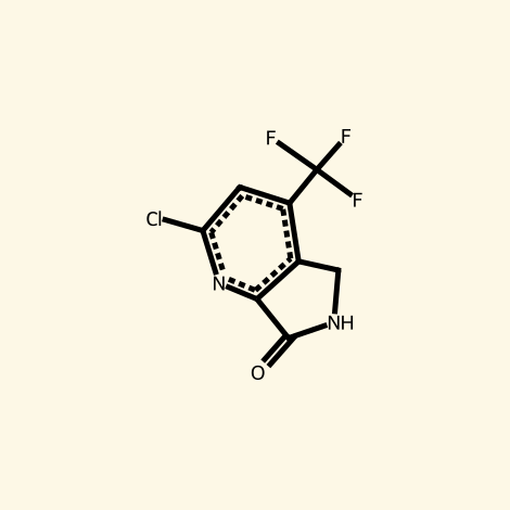 O=C1NCc2c(C(F)(F)F)cc(Cl)nc21